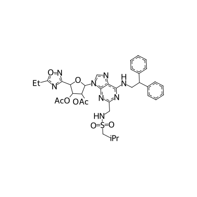 CCc1nc(C2OC(n3cnc4c(NCC(c5ccccc5)c5ccccc5)nc(CNS(=O)(=O)CC(C)C)nc43)C(OC(C)=O)C2OC(C)=O)no1